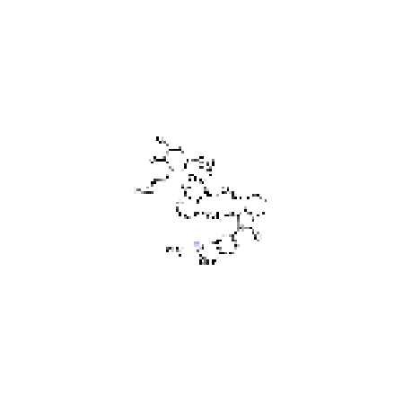 C=CCN(CC=C)C(=O)C(Cl)Cl.CCOC(=O)/C(Cl)=C/c1cc(N2C(=O)C3=C(CCCC3)C2=O)ccc1Cl.CCOCN(C(=O)CCl)c1c(C)cccc1CC